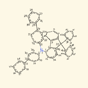 C1=CC2=C(CC1)c1c(N(c3ccc(-c4ccccc4)cc3)c3ccc(-c4ccccc4)cc3)cccc1C2(c1ccccc1)c1ccccc1